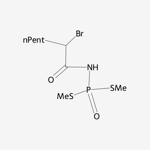 CCCCCC(Br)C(=O)NP(=O)(SC)SC